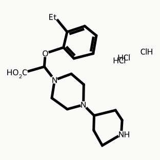 CCc1ccccc1OC(C(=O)O)N1CCN(C2CCNCC2)CC1.Cl.Cl.Cl